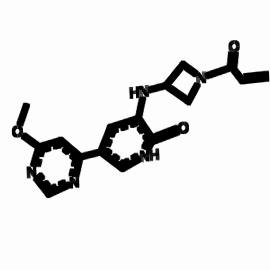 C=CC(=O)N1CC(Nc2cc(-c3cc(OC)ncn3)c[nH]c2=O)C1